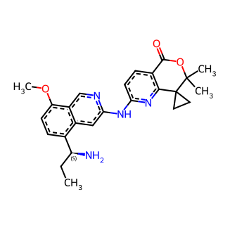 CC[C@H](N)c1ccc(OC)c2cnc(Nc3ccc4c(n3)C3(CC3)C(C)(C)OC4=O)cc12